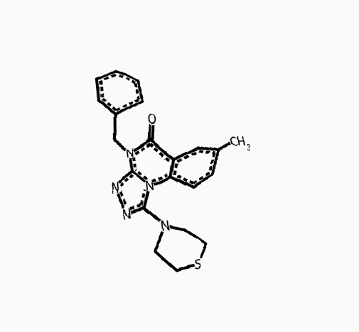 Cc1ccc2c(c1)c(=O)n(Cc1ccccc1)c1nnc(N3CCSCC3)n21